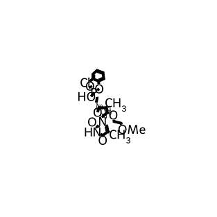 COCCO[C@@H]1[C@H](C)[C@@H](CCP(=O)(O)Oc2ccccc2Cl)O[C@H]1n1cc(C)c(=O)[nH]c1=O